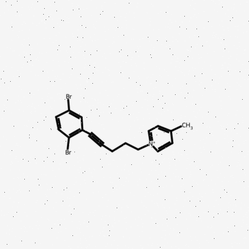 Cc1cc[n+](CCCC#Cc2cc(Br)ccc2Br)cc1